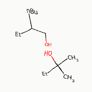 CCC(C)(C)O.CCCCC(CC)CO